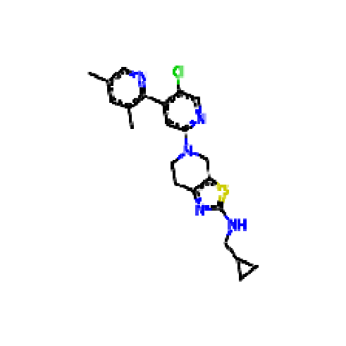 Cc1cnc(-c2cc(N3CCc4nc(NCC5CC5)sc4C3)ncc2Cl)c(C)c1